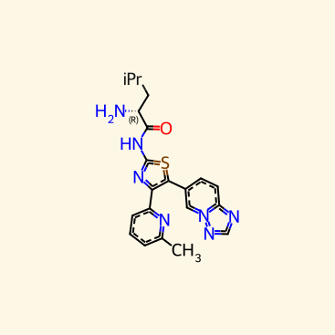 Cc1cccc(-c2nc(NC(=O)[C@H](N)CC(C)C)sc2-c2ccc3ncnn3c2)n1